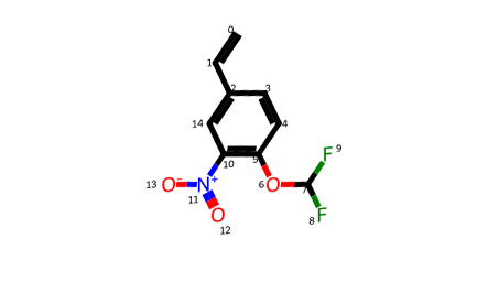 C=Cc1ccc(OC(F)F)c([N+](=O)[O-])c1